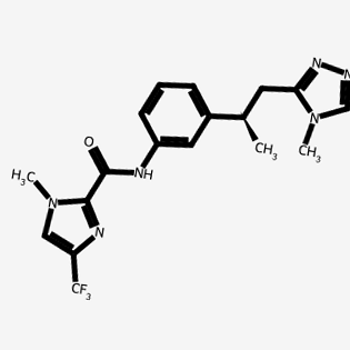 C[C@H](Cc1nncn1C)c1cccc(NC(=O)c2nc(C(F)(F)F)cn2C)c1